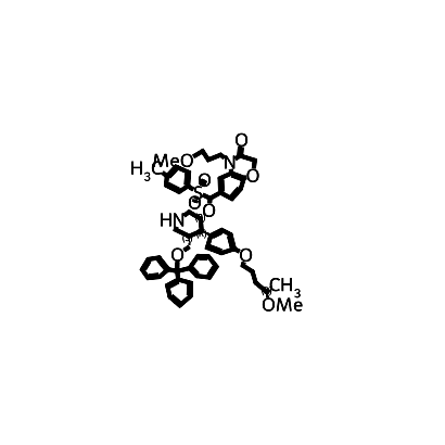 COCCCN1C(=O)COc2ccc(C(O[C@H]3CNC[C@@H](COC(c4ccccc4)(c4ccccc4)c4ccccc4)[C@@H]3c3ccc(OCCC[C@@H](C)OC)cc3)S(=O)(=O)c3ccc(C)cc3)cc21